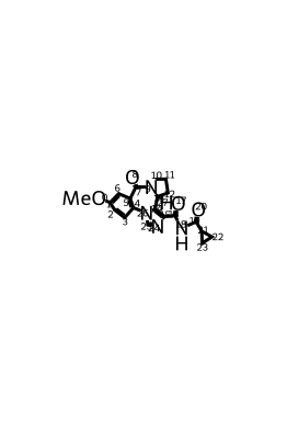 COc1ccc2c(c1)C(=O)N1CCC[C@H]1c1c(C(=O)NC(=O)C3CC3)ncn1-2